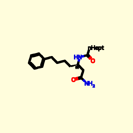 CCCCCCCC(=O)N[C@@H](CCCCc1ccccc1)CC(N)=O